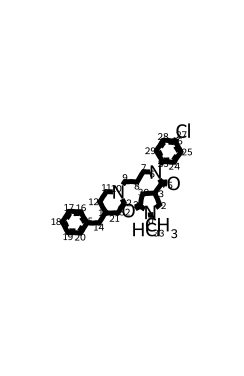 CN1CC(C(=O)N(CCCN2CCC(Cc3ccccc3)CC2)c2ccc(Cl)cc2)CC1=O.Cl